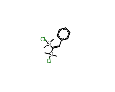 C[Si](C)(Cl)C(=Cc1ccccc1)[Si](C)(C)Cl